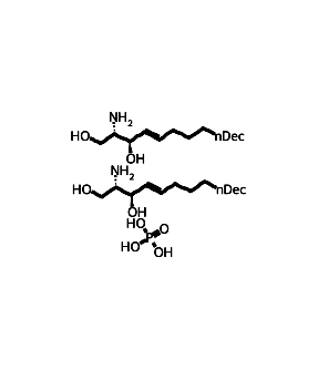 CCCCCCCCCCCCC/C=C/[C@@H](O)[C@@H](N)CO.CCCCCCCCCCCCC/C=C/[C@@H](O)[C@@H](N)CO.O=P(O)(O)O